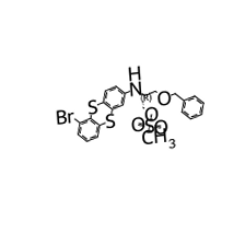 CS(=O)(=O)OC[C@@H](COCc1ccccc1)Nc1ccc2c(c1)Sc1cccc(Br)c1S2